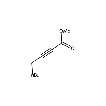 CCCCCC#CC(=O)OC